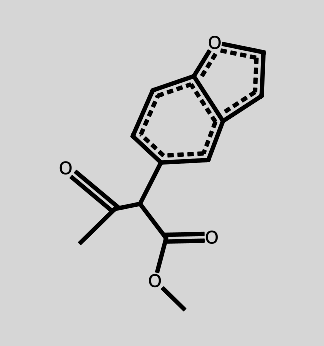 COC(=O)C(C(C)=O)c1ccc2occc2c1